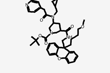 COCCCCC1(CNC(=O)C2CC(N(CC3CC3)C(=O)Cc3ccncc3)CN(C(=O)OC(C)(C)C)C2)c2ccccc2Oc2ccccc21